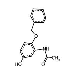 CC(=O)Nc1cc(O)ccc1OCc1ccccc1